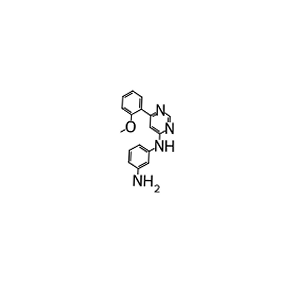 COc1ccccc1-c1cc(Nc2cccc(N)c2)ncn1